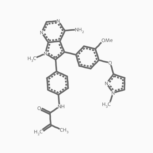 C=C(C)C(=O)Nc1ccc(-c2c(-c3ccc(Oc4ccn(C)n4)c(OC)c3)c3c(N)ncnc3n2C)cc1